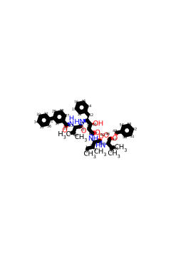 CC[C@H](C)[C@H](NC(=O)C[C@H](O)[C@H](Cc1ccccc1)NC(=O)[C@@H](NC(=O)c1cccc(-c2ccccc2)c1)C(C)C)C(=O)N[C@H](C(=O)OCc1ccccc1)C(C)C